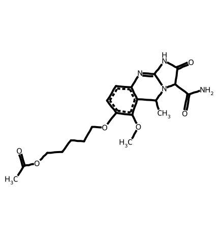 COc1c(OCCCCCOC(C)=O)ccc2c1C(C)N1C(=N2)NC(=O)C1C(N)=O